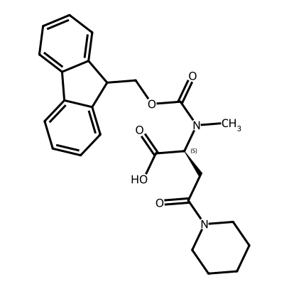 CN(C(=O)OCC1c2ccccc2-c2ccccc21)[C@@H](CC(=O)N1CCCCC1)C(=O)O